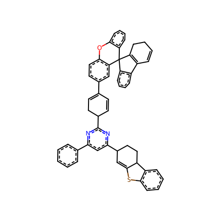 C1=CC2=C(CC1)C1(c3ccccc3Oc3ccc(C4=CCC(c5nc(-c6ccccc6)cc(C6C=C7Sc8ccccc8C7CC6)n5)C=C4)cc31)c1ccccc12